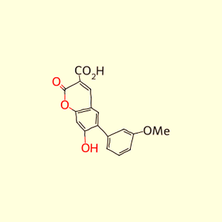 COc1cccc(-c2cc3cc(C(=O)O)c(=O)oc3cc2O)c1